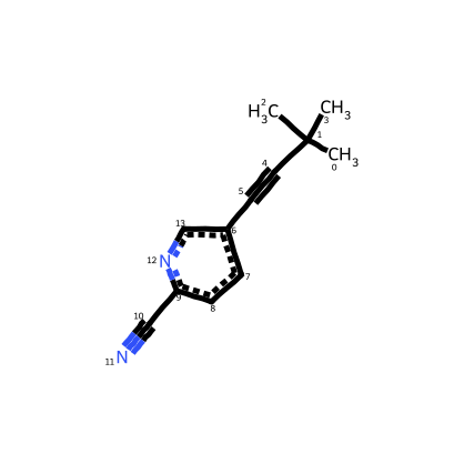 CC(C)(C)C#Cc1ccc(C#N)nc1